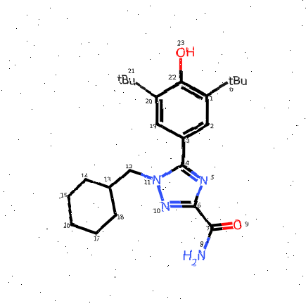 CC(C)(C)c1cc(-c2nc(C(N)=O)nn2CC2CCCCC2)cc(C(C)(C)C)c1O